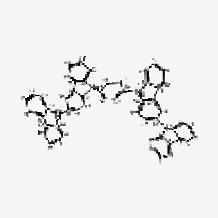 c1ccc2c(c1)c1ccccc1n2-c1ccc2c(c1)c1ccccc1n2-c1ccc(-n2c3ccccc3c3cc(-n4c5ccccc5c5ccccc54)ccc32)cc1